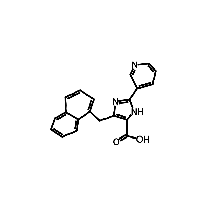 O=C(O)c1[nH]c(-c2cccnc2)nc1Cc1cccc2ccccc12